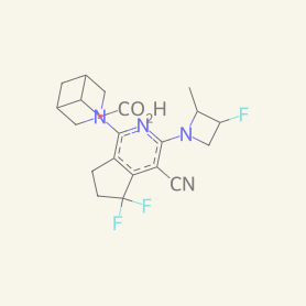 CC1C(F)CN1c1nc(N2CC3CC(C2)C3CC(=O)O)c2c(c1C#N)C(F)(F)CC2